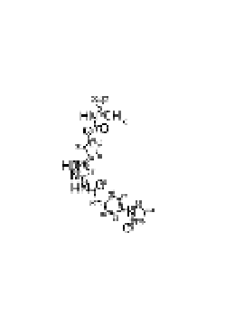 CC1(NC(=O)O[C@@H]2CCC(c3cc(NC(=O)Cc4ccc(N5CCCC5=O)cc4)n[nH]3)C2)CC1